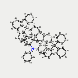 c1ccc(N2c3ccccc3C3(c4cc([Si](c5ccccc5)(c5ccccc5)c5ccccc5)ccc4-c4ccc([Si](c5ccccc5)(c5ccccc5)c5ccccc5)cc43)c3ccccc32)cc1